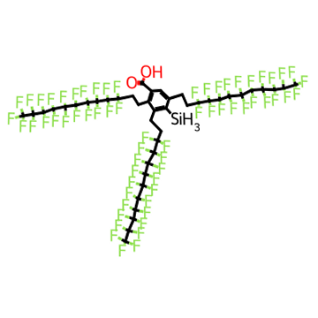 O=C(O)c1cc(CCC(F)(F)C(F)(F)C(F)(F)C(F)(F)C(F)(F)C(F)(F)C(F)(F)C(F)(F)C(F)(F)C(F)(F)F)c([SiH3])c(CCC(F)(F)C(F)(F)C(F)(F)C(F)(F)C(F)(F)C(F)(F)C(F)(F)C(F)(F)C(F)(F)C(F)(F)F)c1CCC(F)(F)C(F)(F)C(F)(F)C(F)(F)C(F)(F)C(F)(F)C(F)(F)C(F)(F)C(F)(F)C(F)(F)F